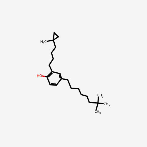 CC(C)(C)CCCCCCc1ccc(O)c(CCCCC2(C)CC2)c1